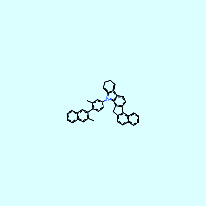 Cc1cc(-n2c3c(c4ccc5c(c42)Cc2ccc4ccccc4c2-5)=CCCC=3)ccc1-c1cc2ccccc2cc1C